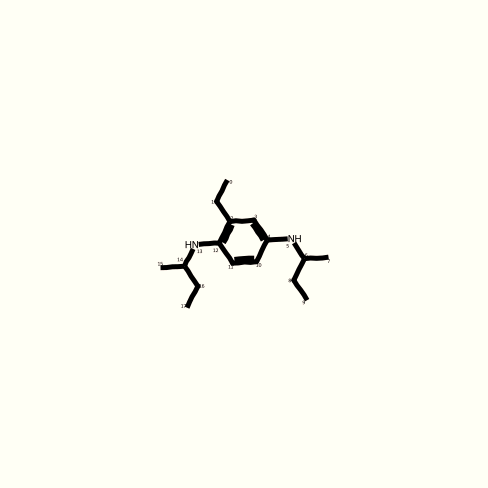 CCc1cc(NC(C)CC)ccc1NC(C)CC